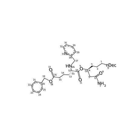 CCCCCCCCCCCCC[C@@H](CC(N)=O)OC(=O)[C@H](CCCC(=O)OCc1ccccc1)NCc1ccccn1